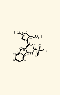 O=C(O)[C@@H]1C[C@H](O)CN1c1nc(C(F)(F)Cl)nc2c1oc1ccccc12